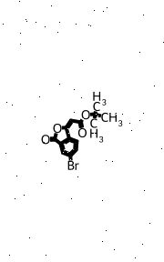 CC(C)(C)OC(=O)/C=C1/OC(=O)c2cc(Br)ccc21